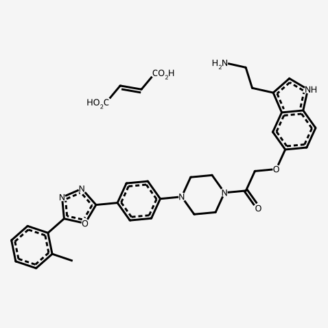 Cc1ccccc1-c1nnc(-c2ccc(N3CCN(C(=O)COc4ccc5[nH]cc(CCN)c5c4)CC3)cc2)o1.O=C(O)/C=C/C(=O)O